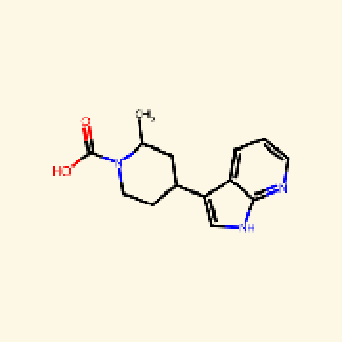 CC1CC(c2c[nH]c3ncccc23)CCN1C(=O)O